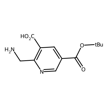 CC(C)(C)OC(=O)c1cnc(CN)c(C(=O)O)c1